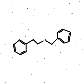 [CH](Cc1ccccc1)OCc1ccccc1